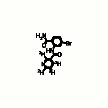 [2H]c1nc([2H])c(C(=O)Nc2cc(Br)ccc2C(N)=O)c([2H])c1[2H]